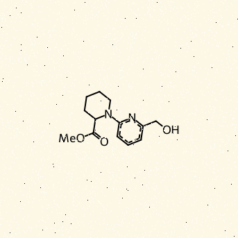 COC(=O)C1CCCCN1c1cccc(CO)n1